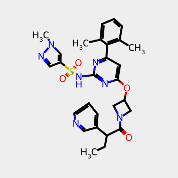 CCC(C(=O)N1CC(Oc2cc(-c3c(C)cccc3C)nc(NS(=O)(=O)c3cnn(C)c3)n2)C1)c1cccnc1